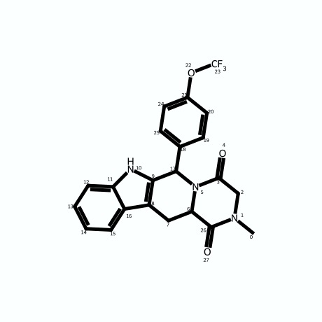 CN1CC(=O)N2C(Cc3c([nH]c4ccccc34)C2c2ccc(OC(F)(F)F)cc2)C1=O